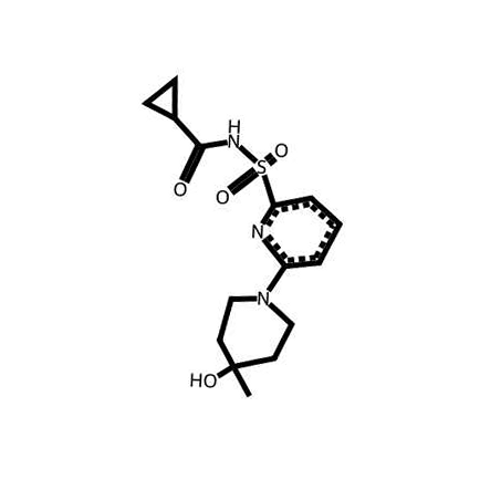 CC1(O)CCN(c2cccc(S(=O)(=O)NC(=O)C3CC3)n2)CC1